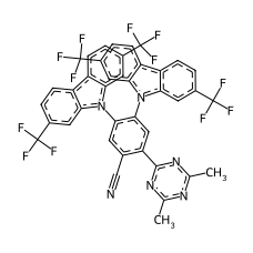 Cc1nc(C)nc(-c2cc(-n3c4cc(C(F)(F)F)ccc4c4ccc(C(F)(F)F)cc43)c(-n3c4cc(C(F)(F)F)ccc4c4ccc(C(F)(F)F)cc43)cc2C#N)n1